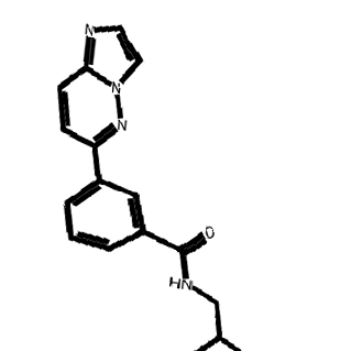 CC(C)CNC(=O)c1cccc(-c2ccc3nccn3n2)c1